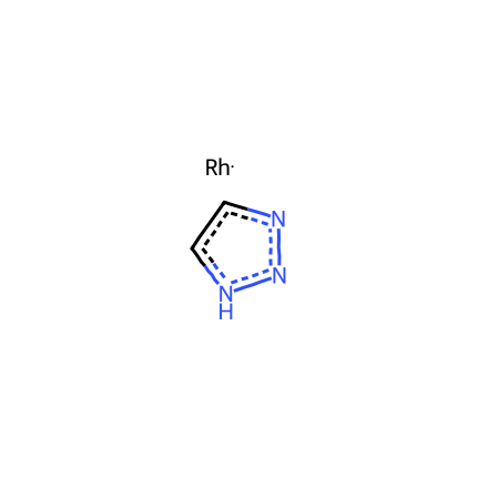 [Rh].c1c[nH]nn1